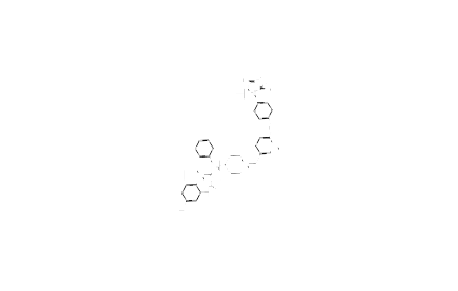 CS(=O)(=O)Nc1ccc(Oc2ccc(CN3CCC(N(C(=O)Nc4ccc(F)cc4F)c4ccccc4)CC3)cn2)cc1